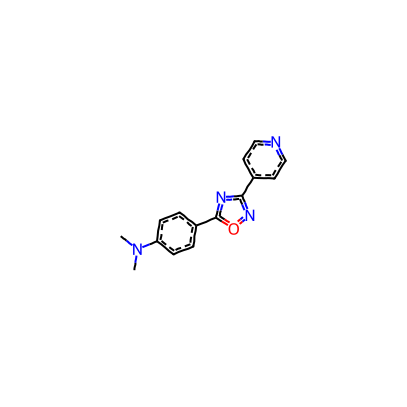 CN(C)c1ccc(-c2nc(-c3ccncc3)no2)cc1